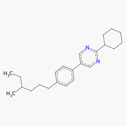 CCC(C)CCCc1ccc(-c2cnc(C3CCCCC3)nc2)cc1